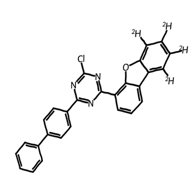 [2H]c1c([2H])c([2H])c2c(oc3c(-c4nc(Cl)nc(-c5ccc(-c6ccccc6)cc5)n4)cccc32)c1[2H]